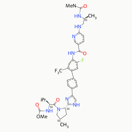 CNC(=O)N[C@@H](C)CNc1ccc(C(=O)Nc2cc(C(F)(F)F)c(-c3ccc(-c4c[nH]c([C@@H]5C[C@H](C)CN5C(=O)[C@@H](NC(=O)OC)C(C)C)n4)cc3)cc2F)cn1